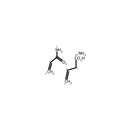 C=CC(N)=O.C=CCC(=O)O.N